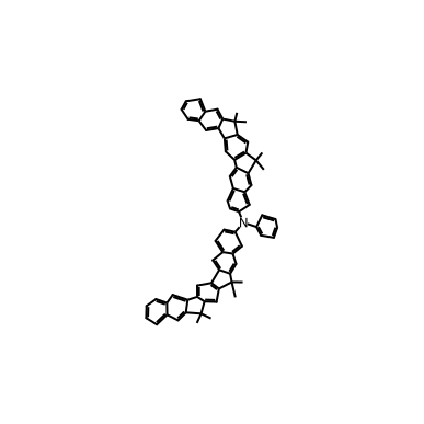 CC1(C)c2cc3c(cc2-c2cc4ccccc4cc21)-c1cc2ccc(N(c4ccccc4)c4ccc5cc6c(cc5c4)C(C)(C)c4cc5c(cc4-6)-c4cc6ccccc6cc4C5(C)C)cc2cc1C3(C)C